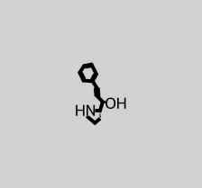 O[C@H](C#Cc1ccccc1)[C@@H]1CCCN1